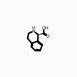 O=C(O)[C@@H]1NCCc2ccccc21